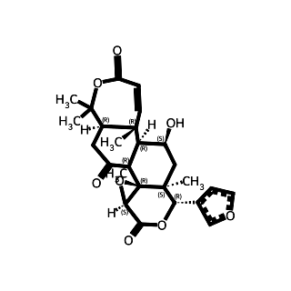 CC1(C)OC(=O)C=C[C@]2(C)[C@H]3[C@@H](O)C[C@@]4(C)[C@H](c5ccoc5)OC(=O)[C@H]5O[C@]54[C@]3(C)C(=O)C[C@@H]12